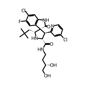 CC(C)(C)C[C@H]1N[C@@H](C(=O)NCC[C@H](O)CO)[C@H](c2cc(Cl)ccn2)[C@@]12C(=O)Nc1cc(Cl)c(F)cc12